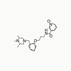 CC1CN(Cc2ccccc2OCCCNC(=O)c2ccc[n+]([O-])c2)CC(C)N1C